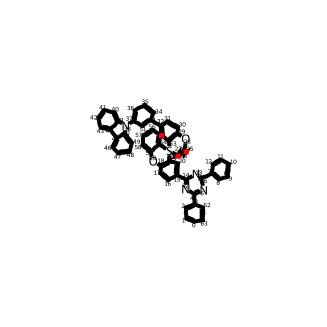 c1ccc(-c2nc(-c3ccccc3)nc(-c3ccc4c(c3)S3(c5ccccc5Oc5ccc(-c6cccc(-n7c8ccccc8c8ccccc87)c6)cc53)c3ccccc3O4)n2)cc1